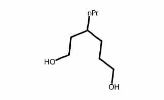 CCCC(CCO)CCCO